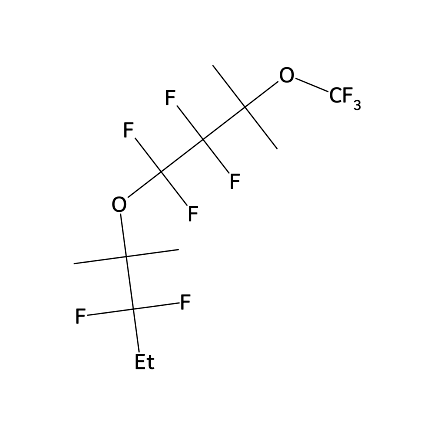 CCC(F)(F)C(C)(C)OC(F)(F)C(F)(F)C(C)(C)OC(F)(F)F